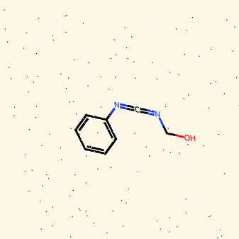 OCN=C=Nc1ccccc1